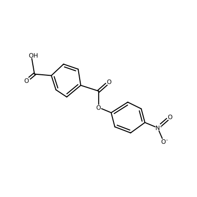 O=C(O)c1ccc(C(=O)Oc2ccc([N+](=O)[O-])cc2)cc1